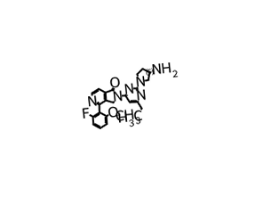 CCc1cc(N2Cc3c(ccnc3-c3c(F)cccc3OC)C2=O)nc(N2CC[C@H](N)C2)n1